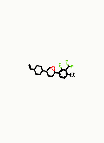 C=CC1CCC(C2CCC(c3ccc(CC)c(C(F)F)c3F)OC2)CC1